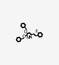 Fc1ccccc1/C=C/c1cc(OCc2ccccc2)c(OCc2ccccc2)nn1